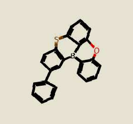 c1ccc(-c2ccc3c(c2)B2c4ccccc4Oc4cccc(c42)S3)cc1